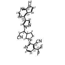 N#CCC(C1CCN(c2nccc(C(F)F)c2C#N)C1)n1cc(-c2ncnc3[nH]ccc23)cn1